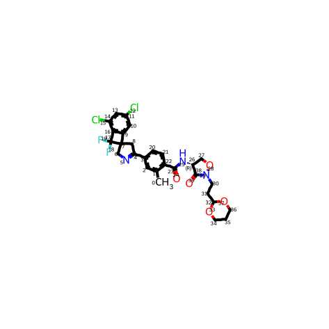 Cc1cc(C2=NCC3(C2)c2cc(Cl)cc(Cl)c2C3(F)F)ccc1C(=O)N[C@@H]1CON(CCC2OCCCO2)C1=O